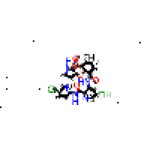 CC1=CC=C(C(=O)Nc2cccnc2C(=O)Nc2ccc(Cl)cn2)[C@@H](OC2CCNC2)C1=S(=O)=O.Cl